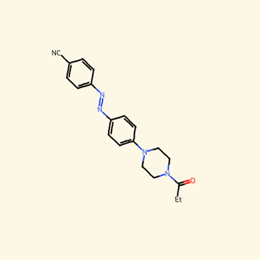 CCC(=O)N1CCN(c2ccc(N=Nc3ccc(C#N)cc3)cc2)CC1